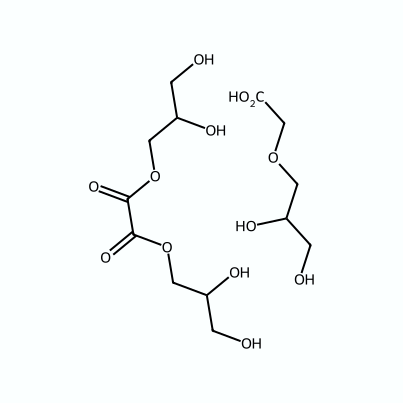 O=C(O)COCC(O)CO.O=C(OCC(O)CO)C(=O)OCC(O)CO